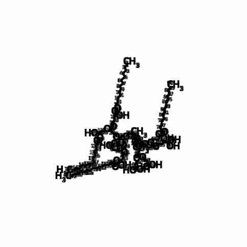 CCCCCCCCCCCCCCCOOC(O)CCCOC(CCOC(COCC(C)(COCC)COCC(OCCC(OCCC(O)O)OCCC(O)O)OCCC(OCCCC(O)O)OCCC(O)OC(=O)CCCCCCCCCCCCCCC)OCCC(OCCC(O)O)OCCC(O)OC(=O)CCCCCCCCCCCCCCC)OCCC(O)OOCCCCCCCCCCCCCCC